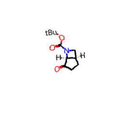 CC(C)(C)OC(=O)N1C[C@H]2CCC(=O)[C@H]21